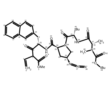 C=CC(C(=O)OC)C(=O)[C@H](Cc1ccc2ccccc2c1)NC(=O)[C@@H]1C[C@H](N=[N+]=[N-])CN1C(=O)[C@@H](NC(=O)[C@H](C)N(C)C(=O)OC(C)(C)C)C(C)(C)C